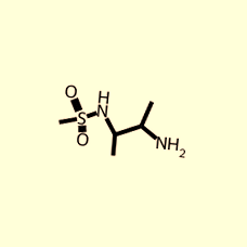 CC(N)C(C)NS(C)(=O)=O